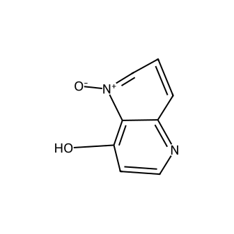 [O-][n+]1cccc2nccc(O)c21